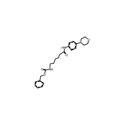 O=C(CCCCCNC(=O)OCc1ccccc1)Nc1ccc(N2CCOCC2)cc1